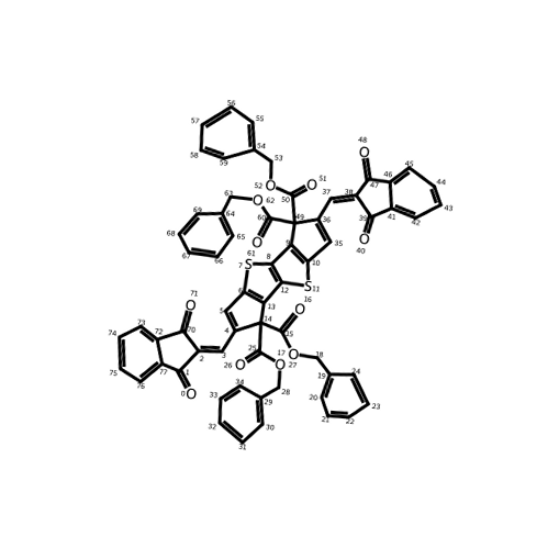 O=C1C(=CC2=Cc3sc4c5c(sc4c3C2(C(=O)OCc2ccccc2)C(=O)OCc2ccccc2)C=C(C=C2C(=O)c3ccccc3C2=O)C5(C(=O)OCc2ccccc2)C(=O)OCc2ccccc2)C(=O)c2ccccc21